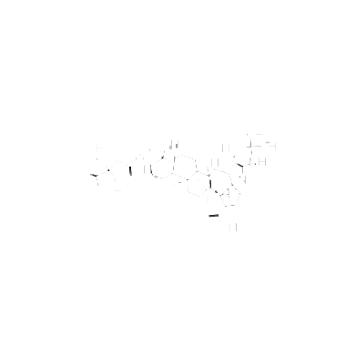 C=C(C)[C@@H]1CC[C@]2(NC(=O)NC(C)(C)C)CC[C@]3(C)[C@H](CC[C@@H]4[C@@]5(C)CC[C@H](OC(=O)CC(C)(C)C(=O)O)C(C)(C)[C@@H]5CC[C@]43C)[C@@H]12